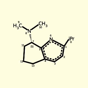 CC(C)c1ccc2c(n1)[C@@H](N(C)C)CCC2